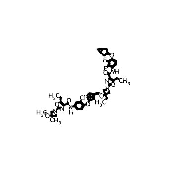 CCc1oc(N2CC(C)(OC)C2)nc1C(=O)Nc1ccc(OC2CC3(COC4(CC)CN(c5nc(C(=O)Nc6ccc(OC7CC8CC8C7)c(F)c6F)c(CC)o5)C4)C4C2C43)c(Cl)c1